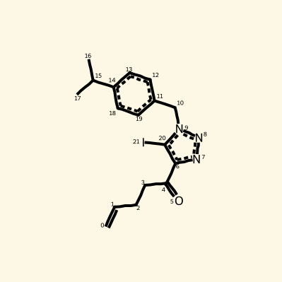 C=CCCC(=O)c1nnn(Cc2ccc(C(C)C)cc2)c1I